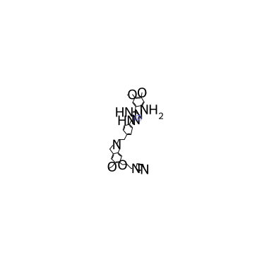 COc1cc(N)c(C(=N)/N=N\Nc2ccc(CCN3CCc4cc(OC)c(OCCn5ccnc5)cc4C3)cc2)cc1OC